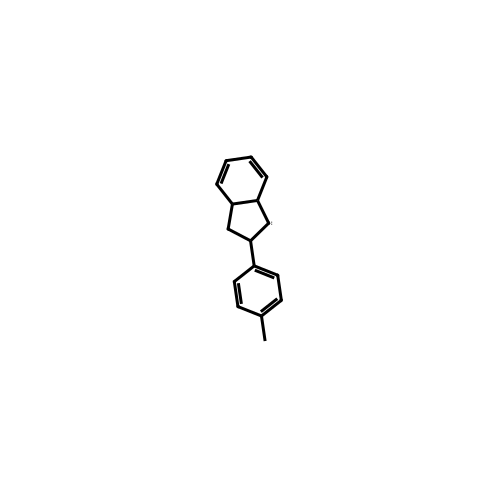 Cc1ccc(C2[C]C3C=CC=CC3C2)cc1